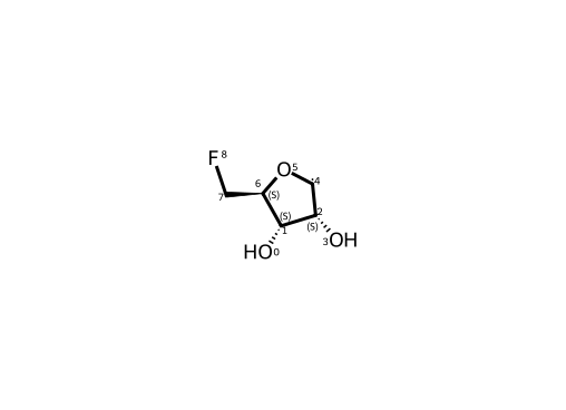 O[C@H]1[C@@H](O)[CH]O[C@@H]1CF